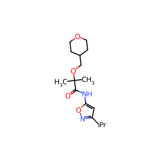 CC(C)c1cc(NC(=O)C(C)(C)OCC2CCOCC2)on1